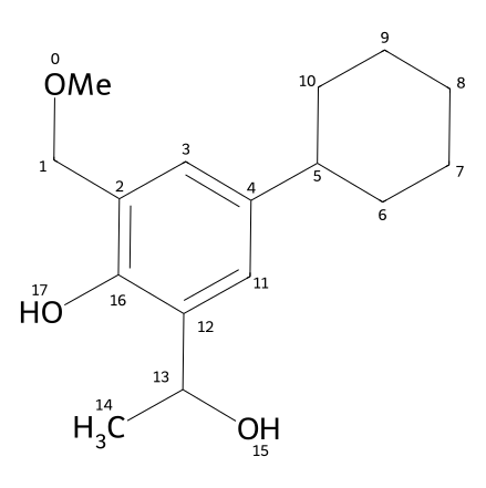 COCc1cc(C2CCCCC2)cc(C(C)O)c1O